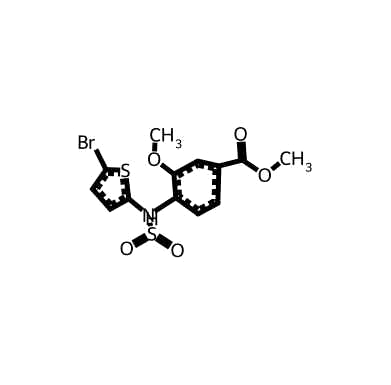 COC(=O)c1ccc(N(c2ccc(Br)s2)[SH](=O)=O)c(OC)c1